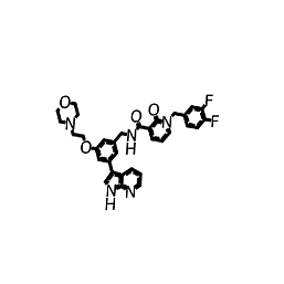 O=C(NCc1cc(OCCN2CCOCC2)cc(-c2c[nH]c3ncccc23)c1)c1cccn(Cc2ccc(F)c(F)c2)c1=O